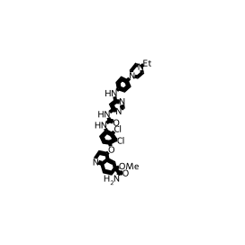 CCN1CCN(c2ccc(Nc3cc(NC(=O)Nc4ccc(OC5=CCN=C6C=CC(OC)(C(N)=O)C=C56)c(Cl)c4Cl)ncn3)cc2)CC1